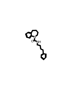 O=C(NCCCCc1ccccc1)N1CCCCc2ccccc21